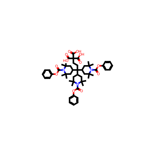 CC1(C)CC(C(CCC(C(=O)O)(C(=O)O)C(=O)O)(C2CC(C)(C)N(C(=O)Oc3ccccc3)C(C)(C)C2)C2CC(C)(C)N(C(=O)Oc3ccccc3)C(C)(C)C2)CC(C)(C)N1C(=O)Oc1ccccc1